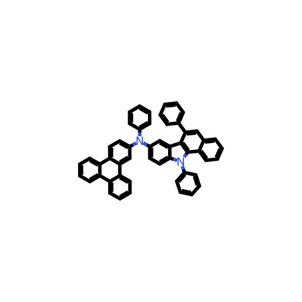 c1ccc(-c2cc3ccccc3c3c2c2cc(N(c4ccccc4)c4ccc5c6ccccc6c6ccccc6c5c4)ccc2n3-c2ccccc2)cc1